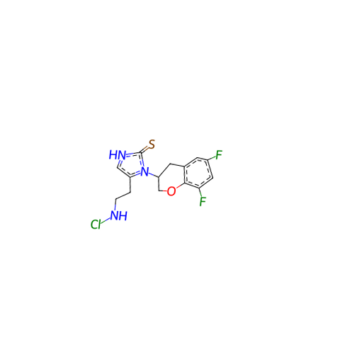 Fc1cc(F)c2c(c1)CC(n1c(CCNCl)c[nH]c1=S)CO2